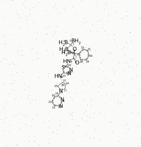 BC(B)(B)O[C@@](B)(C(=O)Nc1nnc(N[C@@H]2CCN(c3cccnn3)C2)s1)c1ccccc1